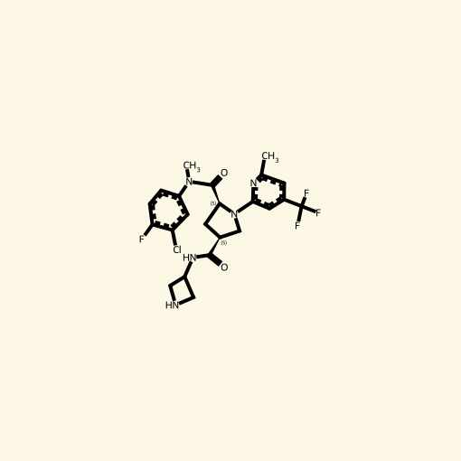 Cc1cc(C(F)(F)F)cc(N2C[C@@H](C(=O)NC3CNC3)C[C@H]2C(=O)N(C)c2ccc(F)c(Cl)c2)n1